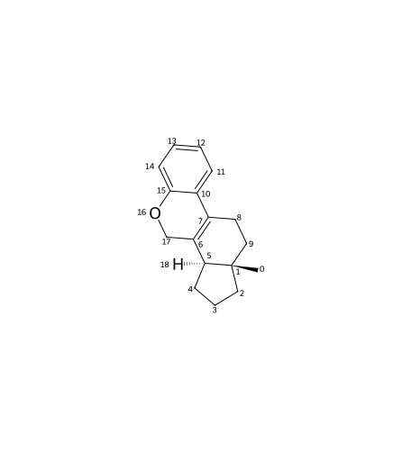 C[C@@]12CCC[C@H]1C1=C(CC2)c2ccccc2OC1